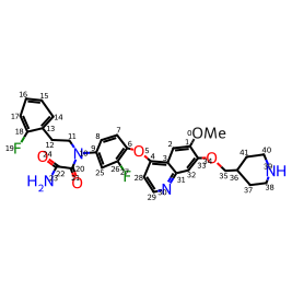 COc1cc2c(Oc3ccc(N(CCc4ccccc4F)C(=O)C(N)=O)cc3F)ccnc2cc1OCC1CCNCC1